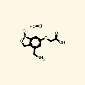 NCc1cc(OCC(=O)O)cc2c1COB2O.OCl